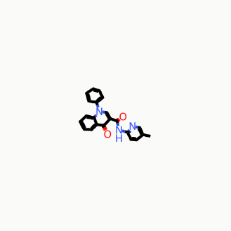 Cc1ccc(NC(=O)c2cn(-c3ccccc3)c3ccccc3c2=O)nc1